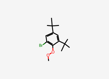 COOc1c(Br)cc(C(C)(C)C)cc1C(C)(C)C